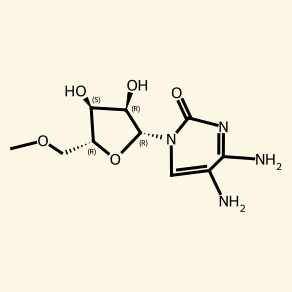 COC[C@H]1O[C@@H](n2cc(N)c(N)nc2=O)[C@H](O)[C@@H]1O